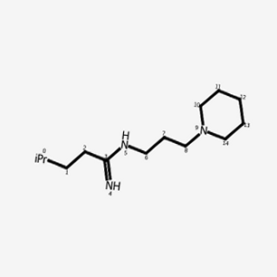 CC(C)CCC(=N)NCCCN1CCCCC1